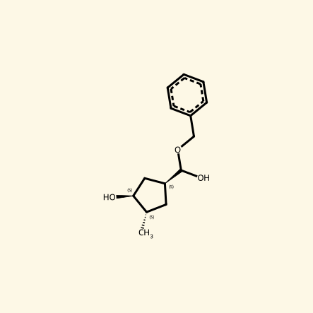 C[C@H]1C[C@H](C(O)OCc2ccccc2)C[C@@H]1O